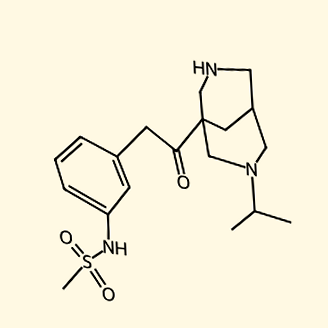 CC(C)N1CC2CNCC(C(=O)Cc3cccc(NS(C)(=O)=O)c3)(C2)C1